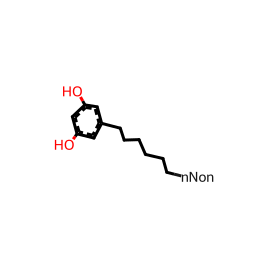 CCCCCCCCCCCCCCCc1cc(O)cc(O)c1